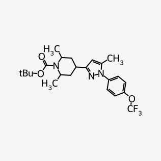 Cc1cc(C2CC(C)N(C(=O)OC(C)(C)C)C(C)C2)nn1-c1ccc(OC(F)(F)F)cc1